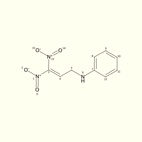 O=[N+]([O-])C(=CCNc1ccccc1)[N+](=O)[O-]